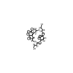 CCC/C(C(=O)O)=C(\CCC)C(=O)O.CCCCOC(=O)/C=C\C(=O)OCCCC